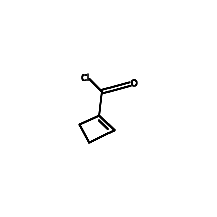 O=C(Cl)C1=CCC1